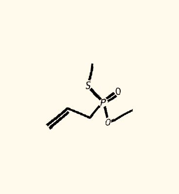 C=CCP(=O)(OC)SC